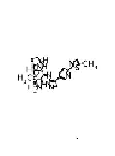 Cc1cnc(-c2ccc(-c3cnn4c(N)c(S(C)(=O)=O)c([C@@H]5C[C@H]6CC[C@@H](C5)N6)nc34)cn2)s1